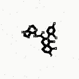 CC[C@H](Nc1ncnc2[nH]cnc12)c1cc2ccc(F)c(Cl)c2c(=O)n1-c1ccc(Cl)cc1Cl